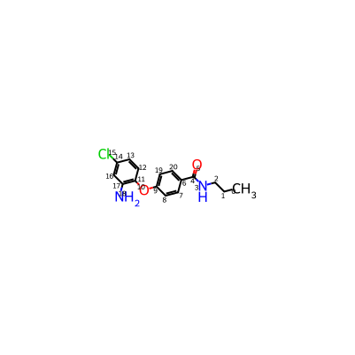 CCCNC(=O)c1ccc(Oc2ccc(Cl)cc2N)cc1